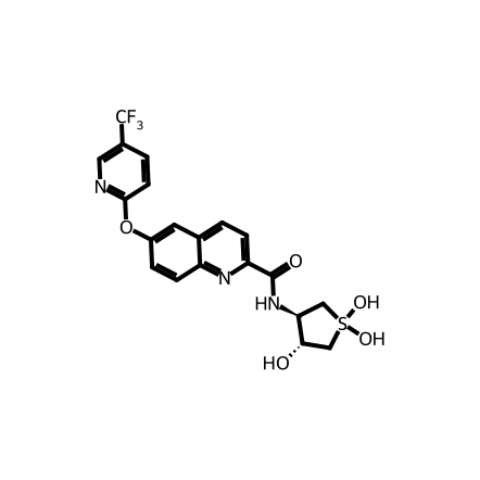 O=C(N[C@H]1CS(O)(O)C[C@@H]1O)c1ccc2cc(Oc3ccc(C(F)(F)F)cn3)ccc2n1